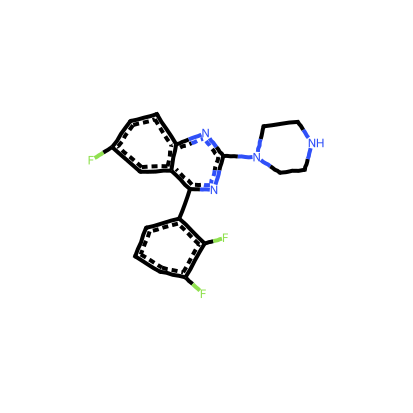 Fc1ccc2nc(N3CCNCC3)nc(-c3cccc(F)c3F)c2c1